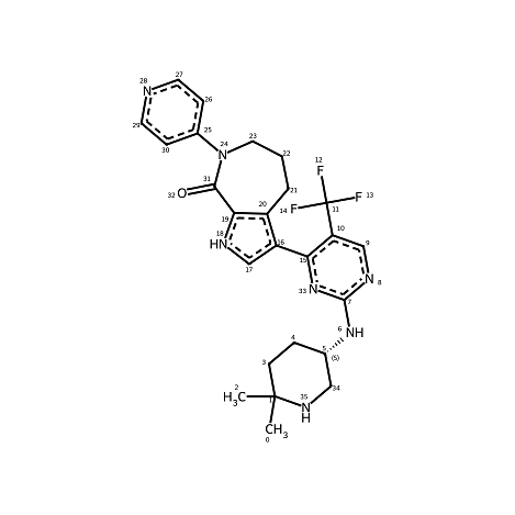 CC1(C)CC[C@H](Nc2ncc(C(F)(F)F)c(-c3c[nH]c4c3CCCN(c3ccncc3)C4=O)n2)CN1